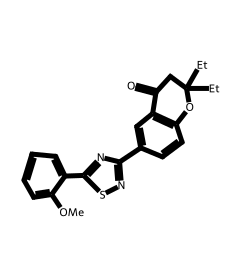 CCC1(CC)CC(=O)c2cc(-c3nsc(-c4ccccc4OC)n3)ccc2O1